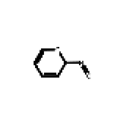 O=NC1C=CC=CO1